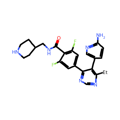 CCc1ncnc(-c2cc(F)c(C(=O)NCC3CCNCC3)c(F)c2)c1-c1ccc(N)nc1